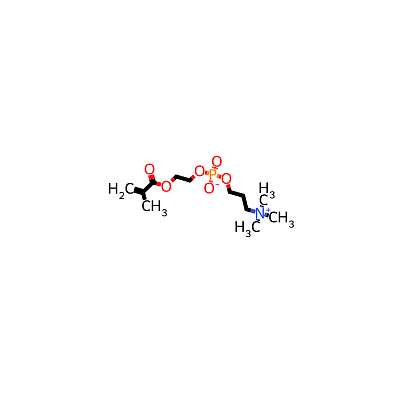 C=C(C)C(=O)OCCOP(=O)([O-])OCCC[N+](C)(C)C